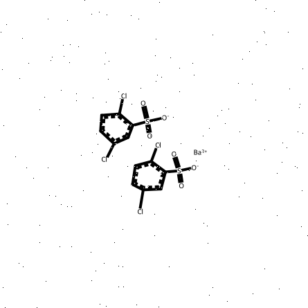 O=S(=O)([O-])c1cc(Cl)ccc1Cl.O=S(=O)([O-])c1cc(Cl)ccc1Cl.[Ba+2]